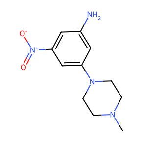 CN1CCN(c2cc(N)cc([N+](=O)[O-])c2)CC1